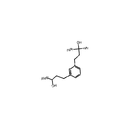 CCCC(O)(CCC)CCc1cccc(CCC(O)NC)c1